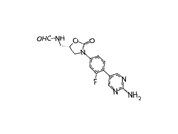 Nc1ncc(-c2ccc(N3C[C@H](CNC=O)OC3=O)cc2F)cn1